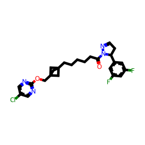 O=C(CCCCCC12CC(COc3ncc(Cl)cn3)(C1)C2)N1N=CCC1c1cc(F)cc(F)c1